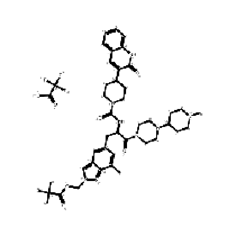 Cc1cc(CC(NC(=O)N2CCC(c3cc4ccccc4[nH]c3=O)CC2)C(=O)N2CCN(C3CCN(C)CC3)CC2)cc2cn(COC(=O)C(C)(C)C)nc12.O=C(O)C(F)(F)F